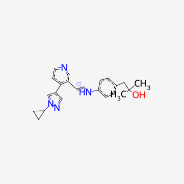 CC(C)(O)Cc1ccc(N/C=C/c2cnccc2-c2cnn(C3CC3)c2)cc1